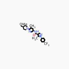 COCC1CCN(c2ncc(NC(=O)c3cnn(-c4ccc(C(F)(F)F)cc4)c3C)cc2C)CC1